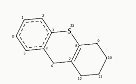 c1ccc2c(c1)CC1=C(CCCC1)S2